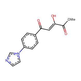 COC(=O)/C(O)=C/C(=O)c1ccc(-n2ccnc2)cc1